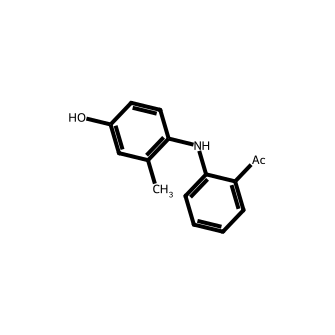 CC(=O)c1ccccc1Nc1ccc(O)cc1C